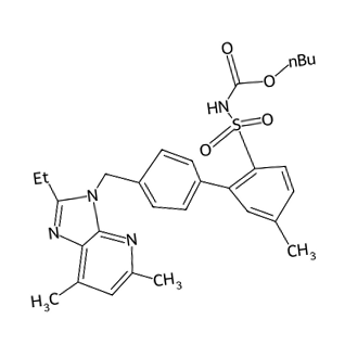 CCCCOC(=O)NS(=O)(=O)c1ccc(C)cc1-c1ccc(Cn2c(CC)nc3c(C)cc(C)nc32)cc1